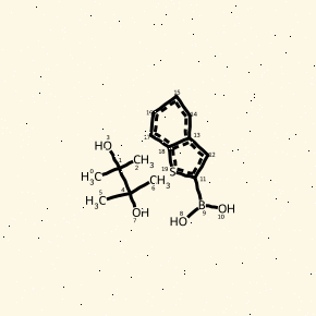 CC(C)(O)C(C)(C)O.OB(O)c1cc2ccccc2s1